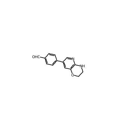 O=Cc1ccc(-c2cnc3c(c2)OCCN3)cc1